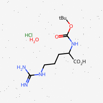 CC(C)(C)OC(=O)NC(CCCNC(=N)N)C(=O)O.Cl.O